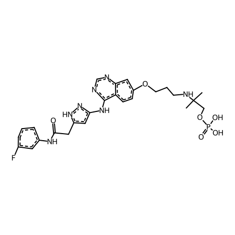 CC(C)(COP(=O)(O)O)NCCCOc1ccc2c(Nc3cc(CC(=O)Nc4cccc(F)c4)[nH]n3)ncnc2c1